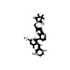 Cc1cc(C(F)(F)F)nc(-c2ccnc3cc(CN4C(=O)C(C)C(C)(C)C4=O)sc23)c1CC1CNCCN1